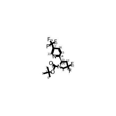 CC(C)(C)OC(=O)N1CC(F)(F)C[C@@H]1c1ccc(C(F)(F)F)cn1